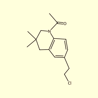 CC(=O)N1CC(C)(C)Cc2cc(CCCl)ccc21